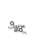 Cc1cc(C(C)(C)C)c(N(C(=O)O)S(=O)(=O)NC(C)Cc2ccccn2)c(C(C)(C)C)c1